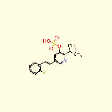 CC(C)c1ncc(C=Cc2ccccc2F)cc1OS(=O)(=O)O